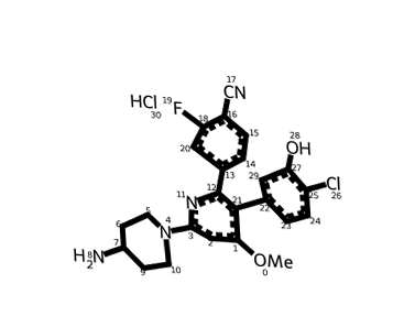 COc1cc(N2CCC(N)CC2)nc(-c2ccc(C#N)c(F)c2)c1-c1ccc(Cl)c(O)c1.Cl